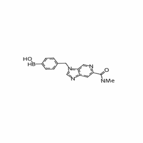 CNC(=O)c1cc2ncn(Cc3ccc(BO)cc3)c2cn1